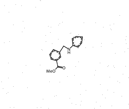 COC(=O)c1cccc(CNc2[c]cccc2)c1